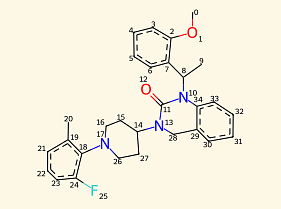 COc1ccccc1C(C)N1C(=O)N(C2CCN(c3c(C)cccc3F)CC2)Cc2ccccc21